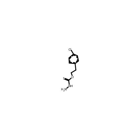 NNC(=S)OCCc1ccc(Cl)cc1